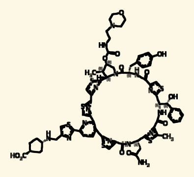 Cc1sc2nc1C(=O)N[C@@H]([C@H](O)c1ccccc1)c1nc(cs1)C(=O)N[C@@H](Cc1ccc(O)cc1)C(=O)N1C[C@H](OC(=O)NCCN3CCOCC3)[C@H](C)[C@H]1c1nc(cs1)-c1nc(cs1)-c1nc(-c3nc(CN[C@H]4CC[C@H](C(=O)O)CC4)cs3)ccc1-c1nc(cs1)C(=O)N[C@H]2CC(N)=O